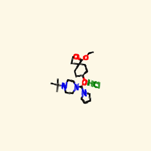 CCOC(=O)C1(CC)CCC(OC(N2CCCC2)N2CCN(C(C)(C)C)CC2)CC1.Cl